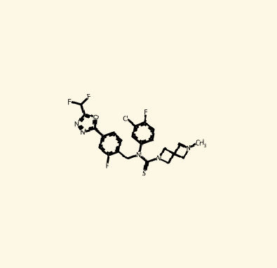 CN1CC2(C1)CN(C(=S)N(Cc1ccc(-c3nnc(C(F)F)o3)cc1F)c1ccc(F)c(Cl)c1)C2